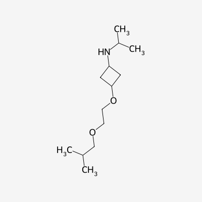 CC(C)COCCOC1CC(NC(C)C)C1